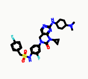 CN(C)C1CCC(Nc2ncc3c(n2)N(C2CC2)C(=O)N(c2ccc(NS(=O)(=O)Cc4ccc(F)cc4)c(F)c2)C3)CC1